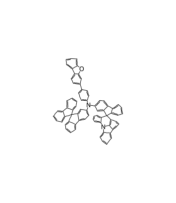 c1ccc2c(c1)-c1ccccc1C21c2ccccc2-c2ccc(N(c3ccc(-c4ccc5c(c4)oc4ccccc45)cc3)c3ccc4c(c3)C3(c5ccccc5-4)c4ccccc4-n4c5ccccc5c5cccc3c54)cc21